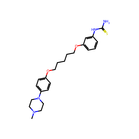 CN1CCN(c2ccc(OCCCCCOc3cccc(NC(N)=S)c3)cc2)CC1